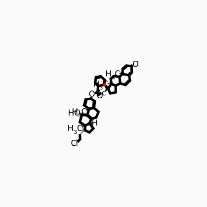 CC(=O)[C@]1(c2ccccc2C(=O)OC2C=C[C@@]3(C)C(=C2)CCC2=C3[C@@H](O)C[C@]3(C)[C@@H](CCCl)CC[C@@H]23)CCC2C3C=CC4=CC(=O)C=C[C@]4(C)C3CC[C@@]21C